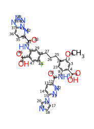 COc1cc(C(=O)O)c(NC(=O)c2ccc(-n3ccnc3)nn2)cc1CCCc1cc(NC(=O)c2ccc3nnnn3n2)c(C(=O)O)cc1F